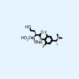 C[C@H](c1cc(F)c(NC(=O)[C@H](CCO)N(C(=O)O)C(C)(C)C)c(F)c1)N(C)C